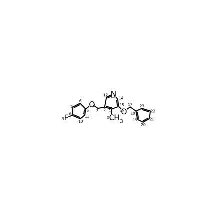 Cc1c(COc2ccc(F)cc2)cncc1OCc1ccccc1